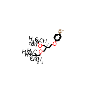 C[SiH](C)C(C)(C)COCC(CCOc1ccc(Br)cc1)CO[Si](C)(C)C(C)(C)C